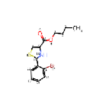 CCCCOC(=O)C1CSC(c2ccccc2Br)N1